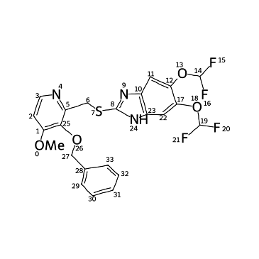 COc1ccnc(CSc2nc3cc(OC(F)F)c(OC(F)F)cc3[nH]2)c1OCc1ccccc1